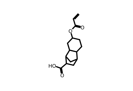 C=CC(=O)OC1CCC2C3CC(C(=O)O)C(C3)C2C1